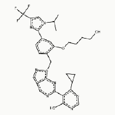 CC(C)n1cc(C(F)(F)F)nc1-c1ccc(Cn2ncc3cnc(-c4c(O)ncnc4C4CC4)nc32)c(OCCCCO)c1